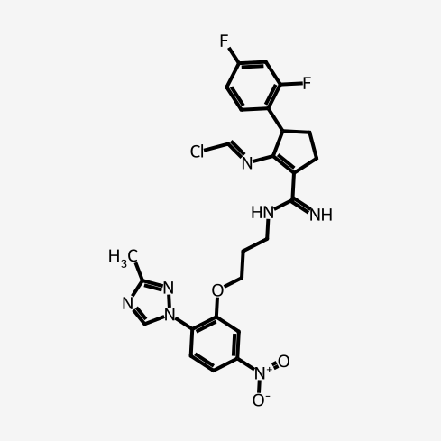 Cc1ncn(-c2ccc([N+](=O)[O-])cc2OCCCNC(=N)C2=C(/N=C/Cl)C(c3ccc(F)cc3F)CC2)n1